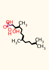 CC(C)=CCCC(C)=CCCC(C)=C(O)CP(=O)(O)O